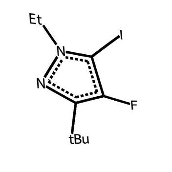 CCn1nc(C(C)(C)C)c(F)c1I